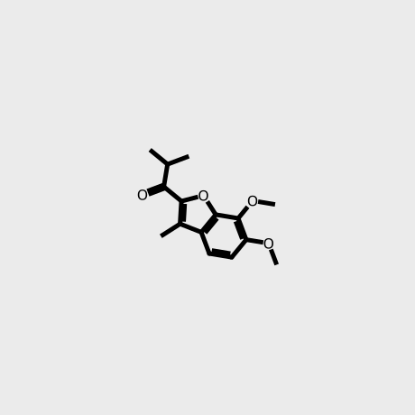 COc1ccc2c(C)c(C(=O)C(C)C)oc2c1OC